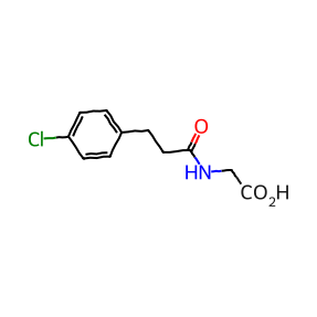 O=C(O)CNC(=O)CCc1ccc(Cl)cc1